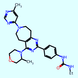 CCNC(=O)Nc1ccc(-c2nc3c(c(N4CCOCC4C)n2)CCN(c2cc(C)ncn2)CC3)cc1